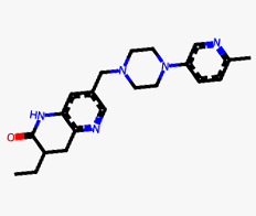 CCC1Cc2ncc(CN3CCN(c4ccc(C)nc4)CC3)cc2NC1=O